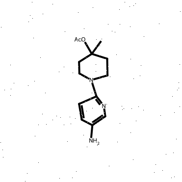 CC(=O)OC1(C)CCN(c2ccc(N)cn2)CC1